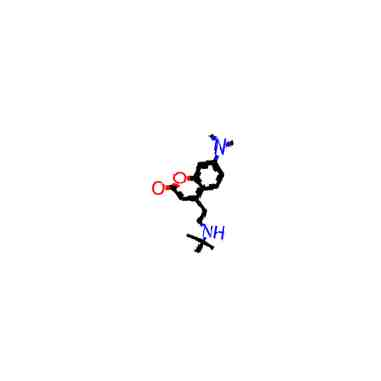 CN(C)c1ccc2c(CCNC(C)(C)C)cc(=O)oc2c1